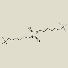 CC(C)(C)CCCCCCN1C(=O)N(CCCCCCC(C)(C)C)C1=O